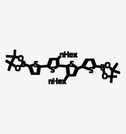 CCCCCCc1cc(-c2ccc(B3OC(C)(C)C(C)(C)O3)s2)sc1-c1sc(-c2ccc(B3OC(C)(C)C(C)(C)O3)s2)cc1CCCCCC